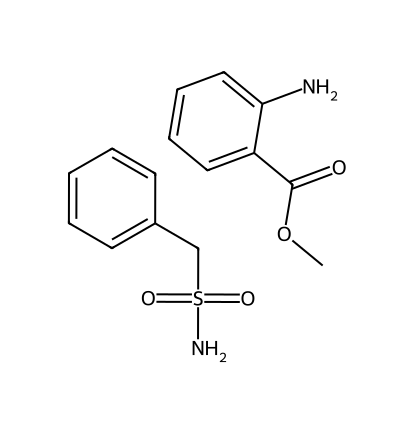 COC(=O)c1ccccc1N.NS(=O)(=O)Cc1ccccc1